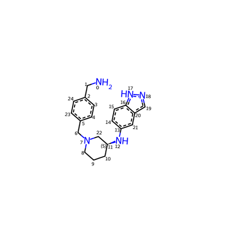 NCc1ccc(CN2CCC[C@H](Nc3ccc4[nH]ncc4c3)C2)cc1